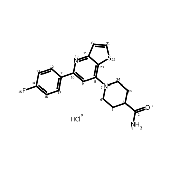 Cl.NC(=O)C1CCN(c2cc(-c3ccc(F)cc3)nc3ccsc23)CC1